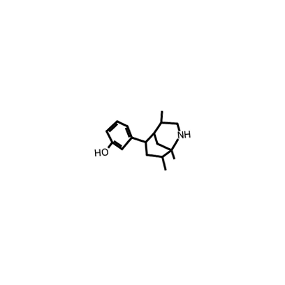 CC1CNC2(C)CC1C(c1cccc(O)c1)CC2C